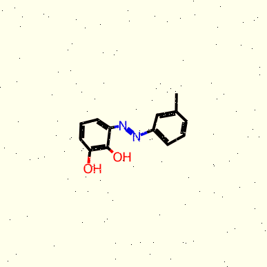 Cc1cccc(N=Nc2cccc(O)c2O)c1